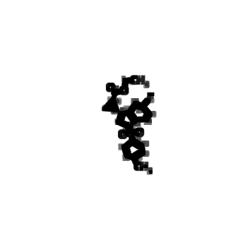 CCOC(=O)[C@@H]1C[C@H]1c1cn(S(=O)(=O)c2ccc(C)cc2)c2ccc(F)cc12